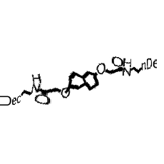 CCCCCCCCCCCCNC(=O)COc1ccc2cc(OCC(=O)NCCCCCCCCCCCC)ccc2c1